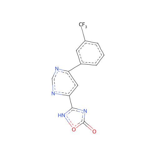 O=c1nc(-c2cc(-c3cccc(C(F)(F)F)c3)ncn2)[nH]o1